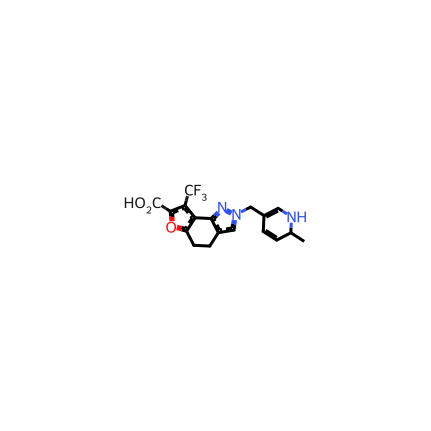 CC1C=CC(Cn2cc3c(n2)-c2c(oc(C(=O)O)c2C(F)(F)F)CC3)=CN1